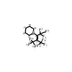 FC(F)(F)C(=C(C(F)(F)F)C(F)(F)F)N1CCCCC1